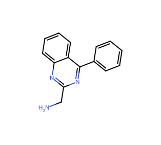 NCc1nc(-c2ccccc2)c2ccccc2n1